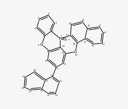 S=P12c3ccccc3Oc3cc(-c4cccc5ccccc45)cc(c31)Oc1c2ccc2ccccc12